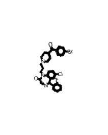 O=C(c1ccc(Br)cc1)C1CCN(CCCN2C(=O)C=NC(c3ccccc3F)c3cc(Cl)ccc32)CC1